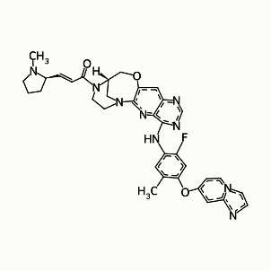 Cc1cc(Nc2ncnc3cc4c(nc23)N2CCN(C(=O)/C=C/[C@H]3CCCN3C)[C@H](CO4)C2)c(F)cc1Oc1ccn2ccnc2c1